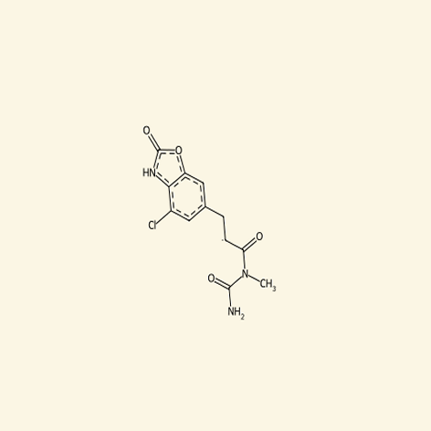 CN(C(N)=O)C(=O)[CH]Cc1cc(Cl)c2[nH]c(=O)oc2c1